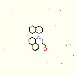 [O]CCCN(C1CCCC2CC=CCC21)C1CCCC2CC=CCC21